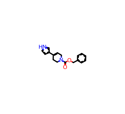 O=C(OCc1ccccc1)N1CC=C(c2cc[nH]c2)CC1